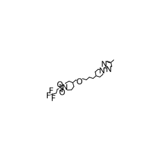 Cc1cnc(N2CCC(CCCCOCC3CCCN(S(=O)(=O)CCC(F)(F)F)CC3)CC2)nc1